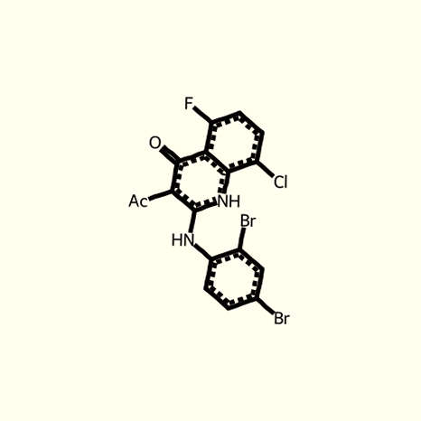 CC(=O)c1c(Nc2ccc(Br)cc2Br)[nH]c2c(Cl)ccc(F)c2c1=O